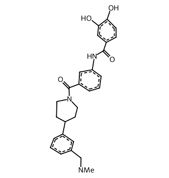 CNCc1cccc(C2CCN(C(=O)c3cccc(NC(=O)c4ccc(O)c(O)c4)c3)CC2)c1